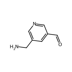 NCc1cncc(C=O)c1